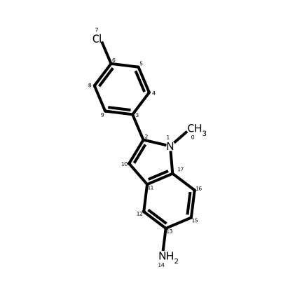 Cn1c(-c2ccc(Cl)cc2)cc2cc(N)ccc21